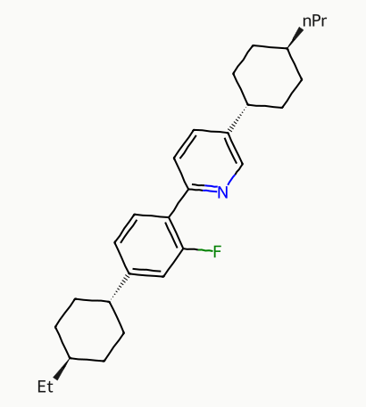 CCC[C@H]1CC[C@H](c2ccc(-c3ccc([C@H]4CC[C@H](CC)CC4)cc3F)nc2)CC1